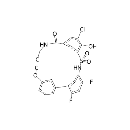 O=C1NCCCOc2cccc(c2)-c2cc(c(F)cc2F)NS(=O)(=O)c2cc1cc(Cl)c2O